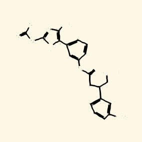 COc1cccc(C(CC(=O)O)CC(=O)Nc2cccc(-c3sc(NC(=N)N)nc3C)c2)c1